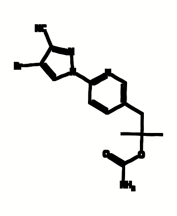 CC(C)(Cc1ccc(-n2cc(Br)c(C#N)n2)nc1)OC(N)=O